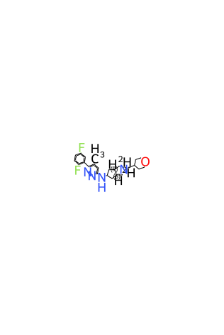 [2H]C([2H])(C1CCOCC1)N1C[C@H]2CC(Nc3cc(C)c(-c4cc(F)ccc4F)nn3)C[C@H]2C1